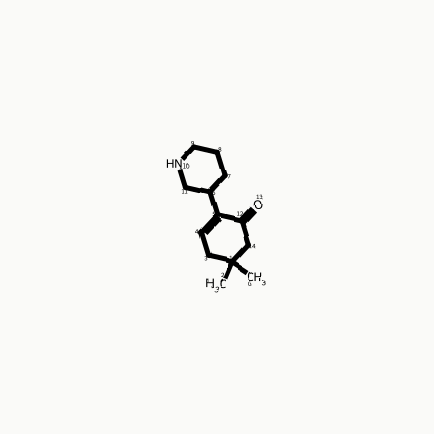 CC1(C)CC=C(C2CCCNC2)C(=O)C1